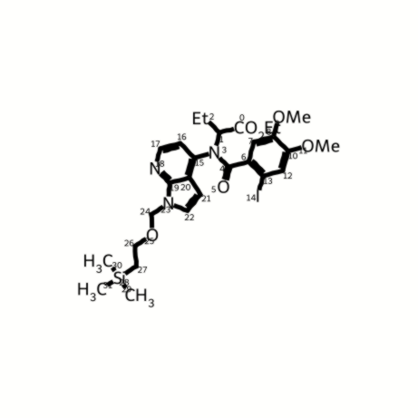 CCOC(=O)C(CC)N(C(=O)c1cc(OC)c(OC)cc1I)c1ccnc2c1ccn2COCC[Si](C)(C)C